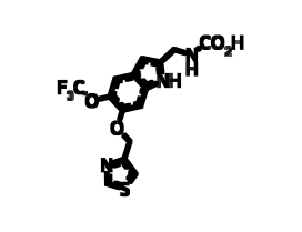 O=C(O)NCc1cc2cc(OC(F)(F)F)c(OCc3cscn3)cc2[nH]1